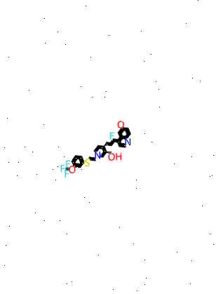 COc1ccc2nccc([C@H](F)CC[C@@H]3CCN(CCSc4cccc(OC(F)(F)F)c4)C[C@@H]3CO)c2c1